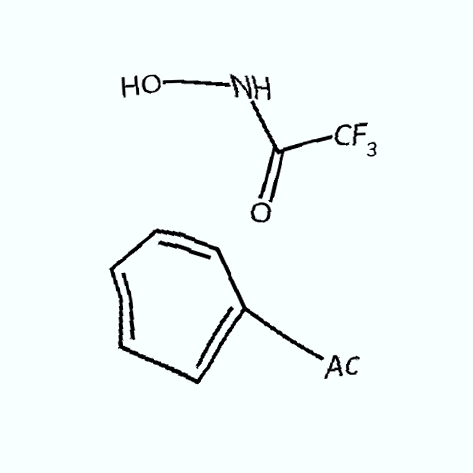 CC(=O)c1ccccc1.O=C(NO)C(F)(F)F